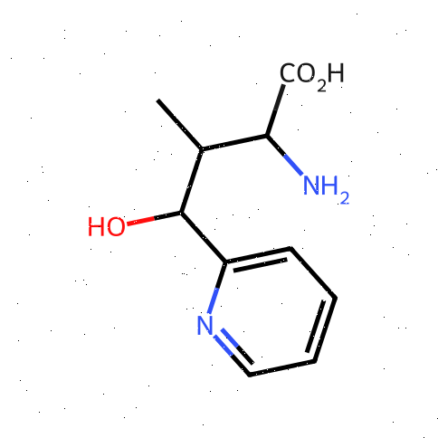 CC(C(N)C(=O)O)C(O)c1ccccn1